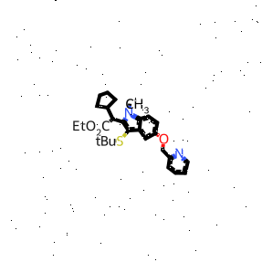 CCOC(=O)C(c1c(SC(C)(C)C)c2cc(OCc3ccccn3)ccc2n1C)C1CCCC1